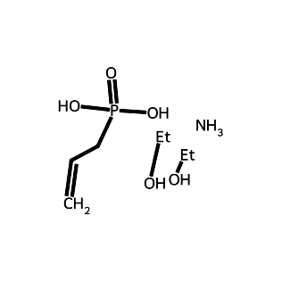 C=CCP(=O)(O)O.CCO.CCO.N